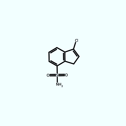 NS(=O)(=O)c1cccc2c1CC=C2Cl